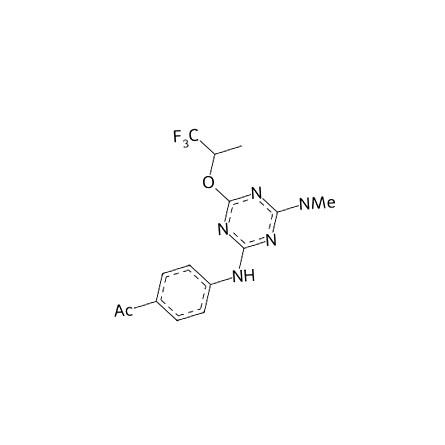 CNc1nc(Nc2ccc(C(C)=O)cc2)nc(OC(C)C(F)(F)F)n1